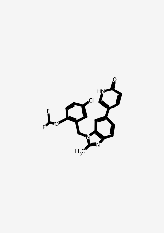 Cc1nc2ccc(-c3ccc(=O)[nH]c3)cc2n1Cc1cc(Cl)ccc1OC(F)F